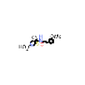 COc1cccc(C=CC(=O)Nc2sc3c(c2C#N)CCN(C(=O)O)C3)c1